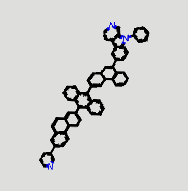 C1=CC2=C(CC1)C(c1ccc3c(c1)c1ccncc1n3-c1ccccc1)=CC1C=CC(c3c4ccccc4c(C4=CCC5C(=C4)C=Cc4cc(-c6cccnc6)ccc45)c4ccccc34)=CC21